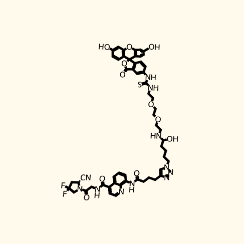 N#C[C@@H]1CC(F)(F)CN1C(=O)CNC(=O)c1ccnc2c(NC(=O)CCCc3cn(CCCCC(O)NCCOCCOCCNC(=S)Nc4ccc5c(c4)C(=O)OC54c5ccc(O)cc5Oc5cc(O)ccc54)nn3)cccc12